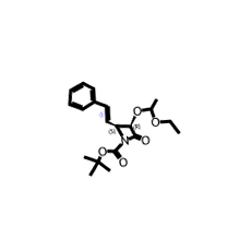 CCOC(C)O[C@H]1C(=O)N(C(=O)OC(C)(C)C)[C@H]1/C=C/c1ccccc1